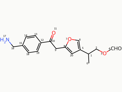 CC(COC=O)c1coc(CC(=O)c2ccc(CN)cc2)c1